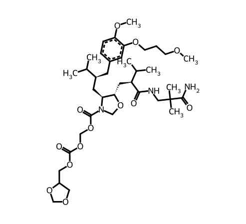 COCCCOc1cc(C[C@@H](C[C@H]2[C@H](C[C@H](C(=O)NCC(C)(C)C(N)=O)C(C)C)OCN2C(=O)OCOC(=O)OCC2COCO2)C(C)C)ccc1OC